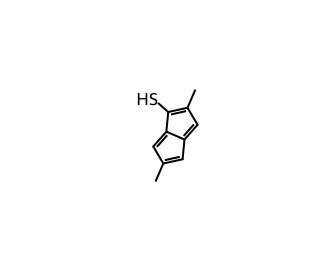 CC1=CC2=CC(C)=C(S)C2=C1